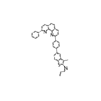 C=C/C=N\c1sc2ccc(-c3ccc(-c4ccc5ccc6ccc(-c7ccccc7)nc6c5n4)cc3)cc2c1C